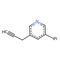 C#CCc1cncc(C(C)C)c1